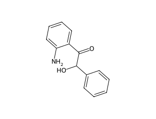 Nc1ccccc1C(=O)C(O)c1ccccc1